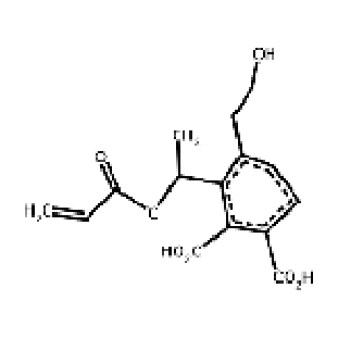 C=CC(=O)OC(C)c1c(CCO)ccc(C(=O)O)c1C(=O)O